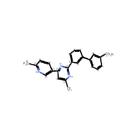 O=C(O)c1cccc(-c2cccc(-c3nc(-c4ccc(C(F)(F)F)nc4)cc(C(F)(F)F)n3)c2)c1